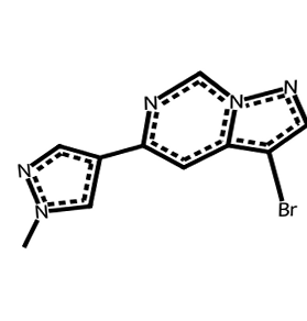 Cn1cc(-c2cc3c(Br)cnn3cn2)cn1